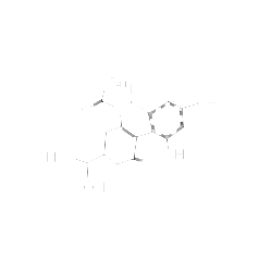 Cc1cc(C)c(C2=C(OC(=O)C(C)(C)C)CC(C(C)O)CC2=O)c(C)c1